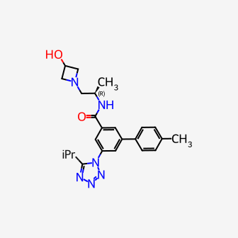 Cc1ccc(-c2cc(C(=O)N[C@H](C)CN3CC(O)C3)cc(-n3nnnc3C(C)C)c2)cc1